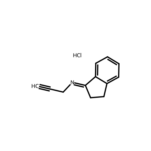 C#CCN=C1CCc2ccccc21.Cl